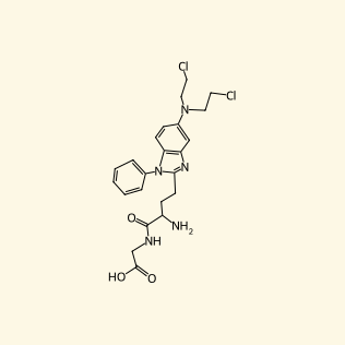 NC(CCc1nc2cc(N(CCCl)CCCl)ccc2n1-c1ccccc1)C(=O)NCC(=O)O